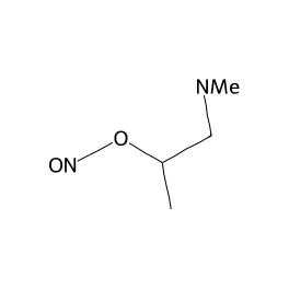 CNCC(C)ON=O